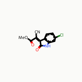 COC(=O)/C(C#N)=C1\C(=O)Nc2cc(Cl)ccc21